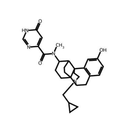 CN(C(=O)c1cc(=O)[nH]cn1)C1CCC23CCC1C21CCN(CC2CC2)C3Cc2ccc(O)cc21